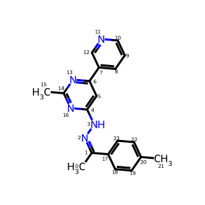 CC(=NNc1cc(-c2cccnc2)nc(C)n1)c1ccc(C)cc1